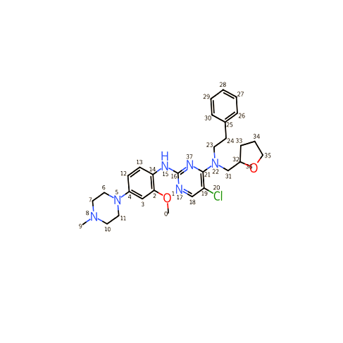 COc1cc(N2CCN(C)CC2)ccc1Nc1ncc(Cl)c(N(CCc2ccccc2)CC2CCCO2)n1